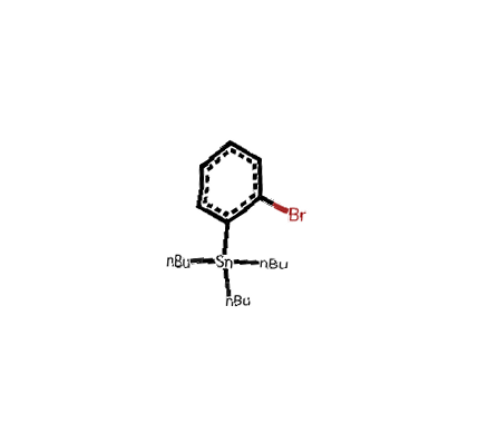 CCC[CH2][Sn]([CH2]CCC)([CH2]CCC)[c]1ccccc1Br